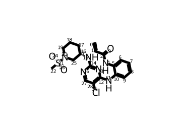 C=CC(=O)Nc1ccccc1Nc1nc(N[C@H]2CCCN(S(C)(=O)=O)C2)ncc1Cl